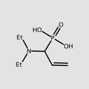 C=CC(N(CC)CC)P(=O)(O)O